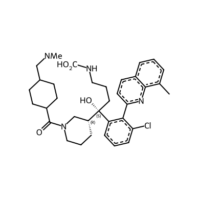 CNCC1CCC(C(=O)N2CCC[C@@H]([C@@](O)(CCCNC(=O)O)c3cccc(Cl)c3-c3ccc4cccc(C)c4n3)C2)CC1